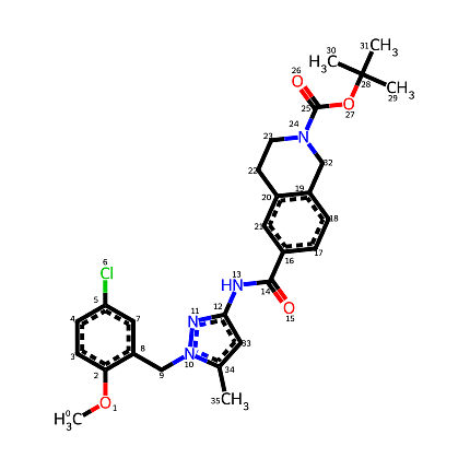 COc1ccc(Cl)cc1Cn1nc(NC(=O)c2ccc3c(c2)CCN(C(=O)OC(C)(C)C)C3)cc1C